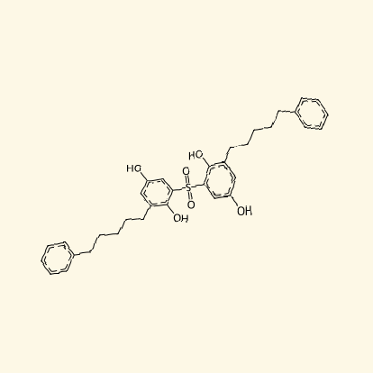 O=S(=O)(c1cc(O)cc(CCCCCc2ccccc2)c1O)c1cc(O)cc(CCCCCc2ccccc2)c1O